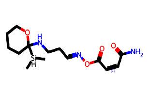 C[SiH](C)C1(NCCC=NOC(=O)/C=C\C(N)=O)CCCCO1